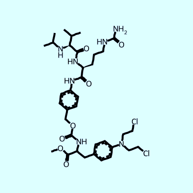 COC(=O)C(Cc1ccc(N(CCCl)CCCl)cc1)NC(=O)OCc1ccc(NC(=O)[C@H](CCCNC(N)=O)NC(=O)[C@@H](NC(C)C)C(C)C)cc1